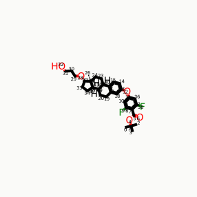 CC(C)(C)OC(=O)c1c(F)cc(Oc2ccc3c(c2)CC[C@@H]2[C@@H]3CC[C@]3(C)[C@@H](OCCCO)CC[C@@H]23)cc1F